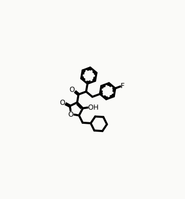 O=C1OC(CC2CCCCC2)C(O)=C1C(=O)C(Cc1ccc(F)cc1)c1ccccc1